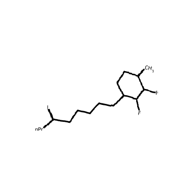 CCCC(I)CCCCCC1CCC(C)C(F)C1F